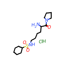 Cl.NC(CCCCNS(=O)(=O)C1CCCCC1)C(=O)N1CCCC1